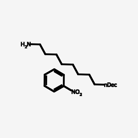 CCCCCCCCCCCCCCCCCCN.O=[N+]([O-])c1ccccc1